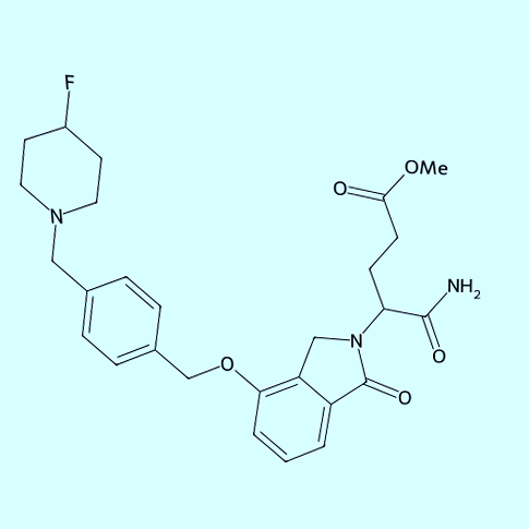 COC(=O)CCC(C(N)=O)N1Cc2c(OCc3ccc(CN4CCC(F)CC4)cc3)cccc2C1=O